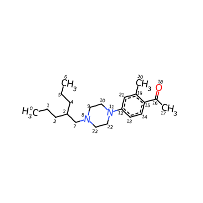 CCCC(CCC)CN1CCN(c2ccc(C(C)=O)c(C)c2)CC1